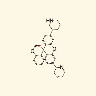 C1=CCC(c2ccc3c(c2)Oc2cc(C4CCCNC4)ccc2C32c3ccccc3Oc3ccccc32)N=C1